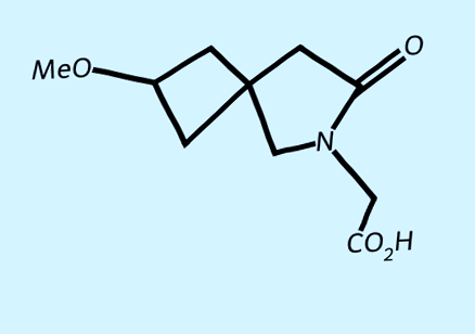 COC1CC2(CC(=O)N(CC(=O)O)C2)C1